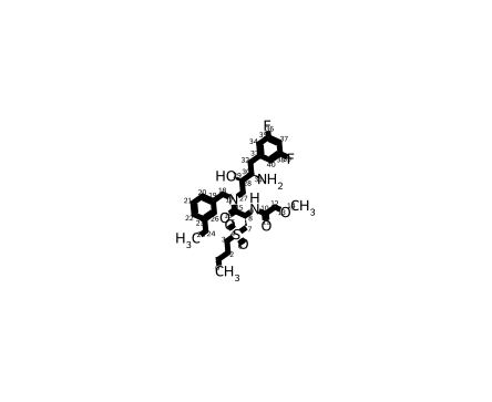 CCCCS(=O)(=O)C[C@@H](NC(=O)COC)C(=O)N(Cc1cccc(CC)c1)C[C@@H](O)[C@@H](N)Cc1cc(F)cc(F)c1